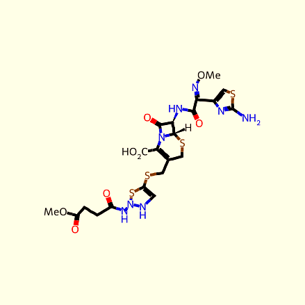 CON=C(C(=O)N[C@@H]1C(=O)N2C(C(=O)O)=C(CSC3=CNN(NC(=O)CCC(=O)OC)S3)CS[C@@H]12)c1csc(N)n1